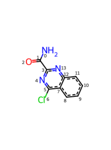 NC(=O)c1nc(Cl)c2ccccc2n1